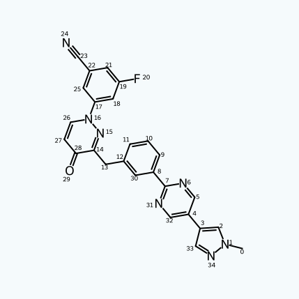 Cn1cc(-c2cnc(-c3cccc(Cc4nn(-c5cc(F)cc(C#N)c5)ccc4=O)c3)nc2)cn1